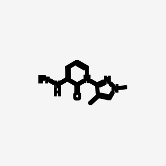 Cc1cn(C)nc1-n1cccc(NC(C)C)c1=O